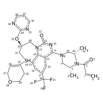 C=CC(=O)N1[C@H](C)CN(c2nc(=O)n3c4c(cc(C(F)(F)F)cc24)[SH](C2=CCOCC2)C[C@@H](Oc2ncccn2)C3)C[C@@H]1C